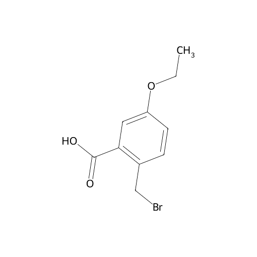 CCOc1ccc(CBr)c(C(=O)O)c1